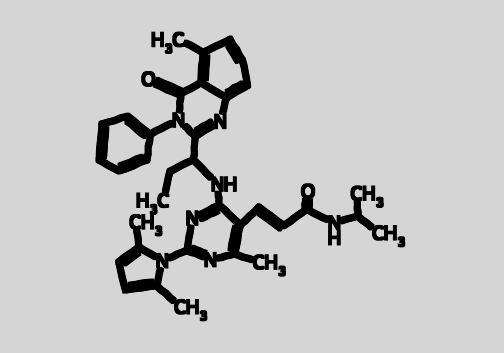 CCC(Nc1nc(-n2c(C)ccc2C)nc(C)c1C=CC(=O)NC(C)C)c1nc2cccc(C)c2c(=O)n1-c1ccccc1